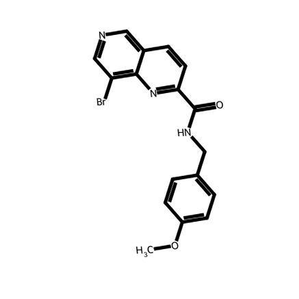 COc1ccc(CNC(=O)c2ccc3cncc(Br)c3n2)cc1